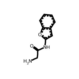 NCC(=O)Nc1cc2ccccc2o1